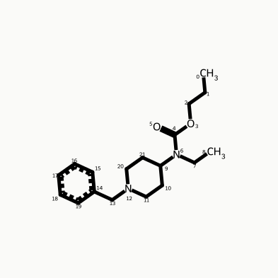 CCCOC(=O)N(CC)C1CCN(Cc2ccccc2)CC1